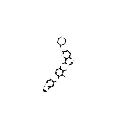 Cc1c(Oc2ccn3ncnc3c2)ccc(Nc2ncnc3ccc(OC4CCNCC4)nc23)c1F